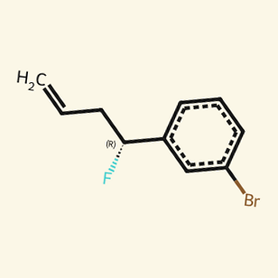 C=CC[C@@H](F)c1cccc(Br)c1